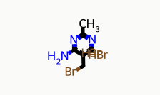 Br.Br.Cc1ncc(CBr)c(N)n1